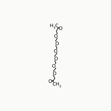 CC(=O)CCOCCOCCOCCOCCOCCOCCC(C)=O